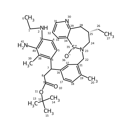 CCNc1ccc(C(CC(=O)OC(C)(C)C)c2ccc(C)c(CN3C[C@@H](CC)Cc4ncccc4[S+]3[O-])c2)c(C)c1N